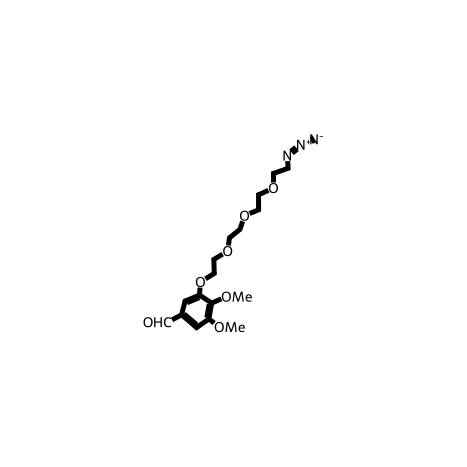 COc1cc(C=O)cc(OCCOCCOCCOCCN=[N+]=[N-])c1OC